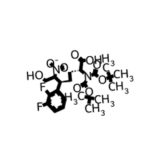 CC(C)(C)OC(=O)N(C(=O)OC(C)(C)C)[C@H](CC[C@@H](c1cccc(F)c1F)C(CO)[N+](=O)[O-])C(=O)O